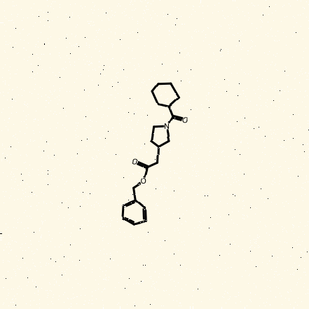 O=C(CC1CCN(C(=O)C2CCCCC2)C1)OCc1ccccc1